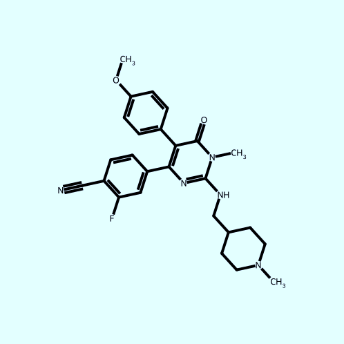 COc1ccc(-c2c(-c3ccc(C#N)c(F)c3)nc(NCC3CCN(C)CC3)n(C)c2=O)cc1